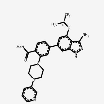 CNC(=O)c1ccc(-c2cc(O[C@@H](C)C(F)(F)F)c3c(N)n[nH]c3c2)cc1N1CCN(c2cccnc2)CC1